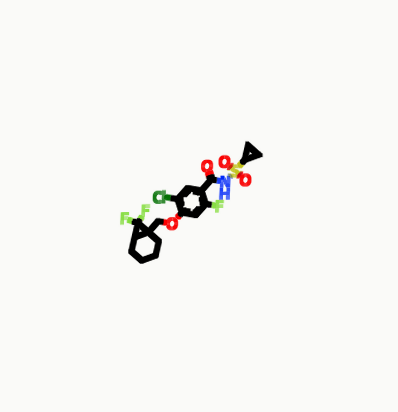 O=C(NS(=O)(=O)C1CC1)c1cc(Cl)c(OCC23CCCCC2C3(F)F)cc1F